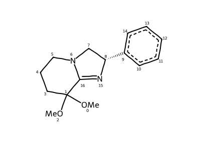 COC1(OC)CCCN2C[C@H](c3ccccc3)N=C21